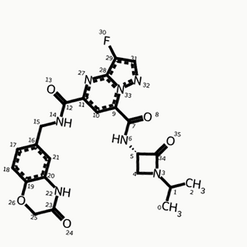 CC(C)N1C[C@H](NC(=O)c2cc(C(=O)NCc3ccc4c(c3)NC(=O)CO4)nc3c(F)cnn23)C1=O